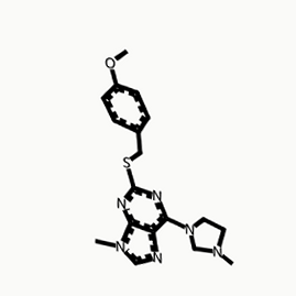 COc1ccc(CSc2nc(N3CCN(C)C3)c3ncn(C)c3n2)cc1